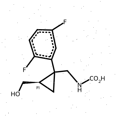 O=C(O)NCC1(c2cc(F)ccc2F)C[C@H]1CO